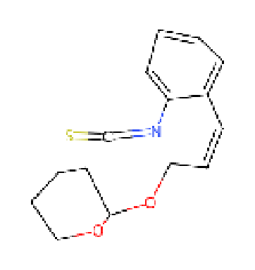 S=C=Nc1ccccc1/C=C\COC1CCCCO1